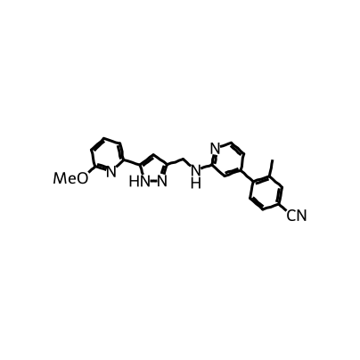 COc1cccc(-c2cc(CNc3cc(-c4ccc(C#N)cc4C)ccn3)n[nH]2)n1